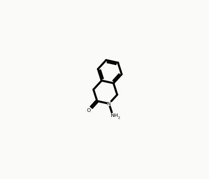 NN1Cc2ccccc2CC1=O